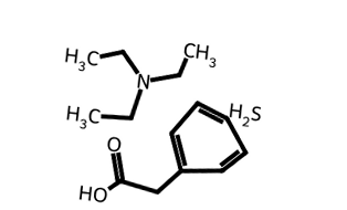 CCN(CC)CC.O=C(O)Cc1ccccc1.S